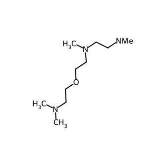 CNCCN(C)CCOCCN(C)C